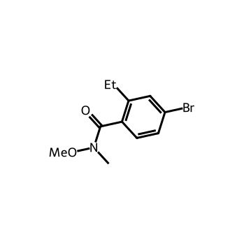 CCc1cc(Br)ccc1C(=O)N(C)OC